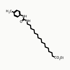 CCOC(=O)CCCCCCCCCCCCCCCNC(=O)Nc1ccc(C)cc1